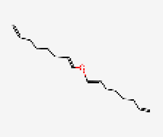 C=CCCCCC=COC=CCCCCC=C